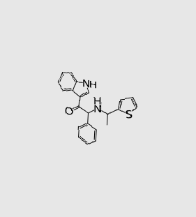 CC(NC(C(=O)c1c[nH]c2ccccc12)c1ccccc1)c1cccs1